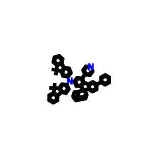 CC1(C)c2ccccc2-c2ccc(N(c3ccc4c(c3)C(C)(C)c3ccccc3-4)c3cc(-c4ccncc4)c4c(c3)C3(c5ccc(-c6ccccc6)cc5-4)C4CC5CC(C4)CC3C5)cc21